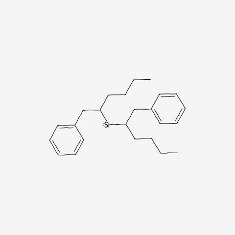 CCCCC(Cc1ccccc1)[Si]C(CCCC)Cc1ccccc1